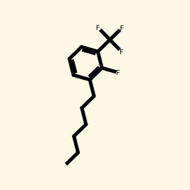 CCCCCCc1cccc(C(F)(F)F)c1F